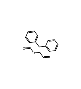 C=CCOC=O.c1ccc(Cc2ccccc2)cc1